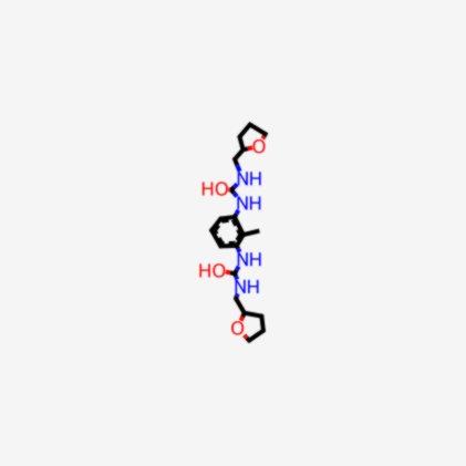 Cc1c(NC(O)NCC2CCCO2)cccc1NC(O)NCC1CCCO1